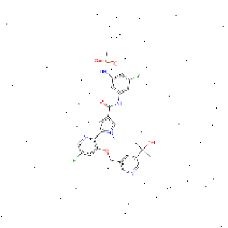 Cn1cc(C(=O)Nc2cc(Cl)cc(NS(C)(=O)=O)c2)cc1-c1ncc(F)cc1OCc1cncc(C(C)(C)O)c1